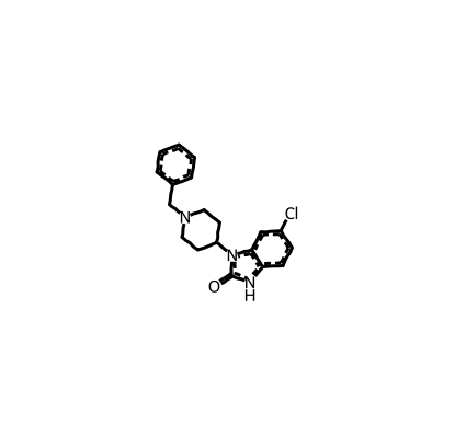 O=c1[nH]c2ccc(Cl)cc2n1C1CCN(Cc2ccccc2)CC1